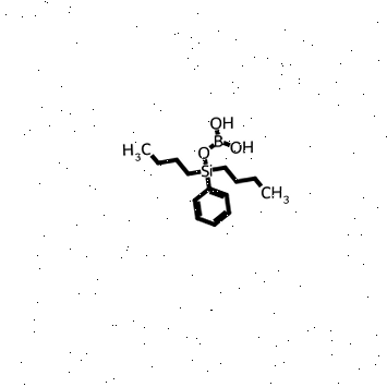 CCCC[Si](CCCC)(OB(O)O)c1ccccc1